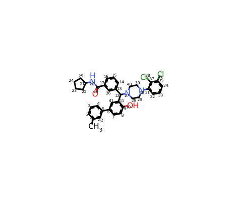 Cc1cccc(-c2ccc(O)c(C(c3cccc(C(=O)NC4CCCC4)c3)N3CCN(c4cccc(Cl)c4Cl)CC3)c2)c1